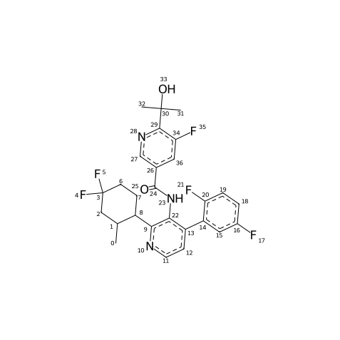 CC1CC(F)(F)CCC1c1nccc(-c2cc(F)ccc2F)c1NC(=O)c1cnc(C(C)(C)O)c(F)c1